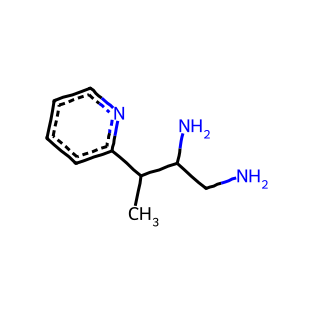 CC(c1ccccn1)C(N)CN